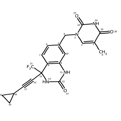 Cc1cn(Cc2ccc3c(c2)NC(=O)NC3(C#CC2CC2)C(F)(F)F)c(=O)[nH]c1=O